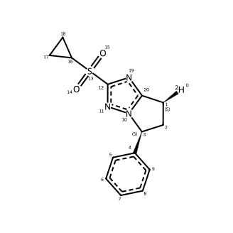 [2H][C@H]1C[C@@H](c2ccccc2)n2nc(S(=O)(=O)C3CC3)nc21